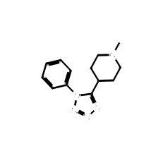 CN1CCC(c2nnnn2-c2ccccc2)CC1